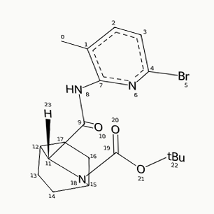 Cc1ccc(Br)nc1NC(=O)[C@H]1C2CCC(CC2)N1C(=O)OC(C)(C)C